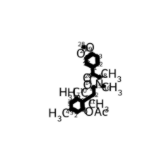 CC(=O)Oc1cc(C)cc(C)c1C(C)(C)CC(=O)N(C)C(C)C(=O)c1ccc2c(c1)OCO2